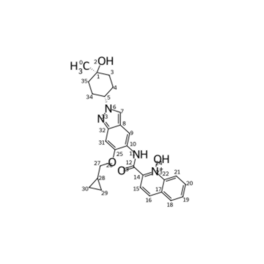 C[C@]1(O)CC[C@H](n2cc3cc(NC(=O)c4ccc5ccccc5[n+]4O)c(OCC4CC4)cc3n2)CC1